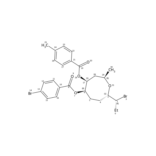 CC[C@@H](Br)[C@@H]1CC[C@@H](OC(=O)c2ccc(Br)cc2)[C@@H](OC(=O)c2ccc(C)cc2)C[C@@H](C)O1